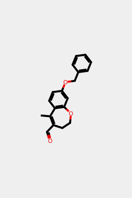 CC1=C(C=O)CCOc2cc(OCc3ccccc3)ccc21